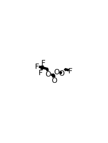 O=C(OCC(F)(F)F)OOCF